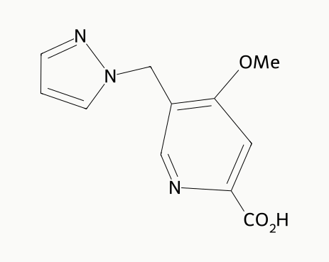 COc1cc(C(=O)O)ncc1Cn1cccn1